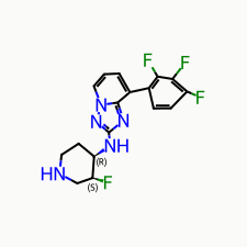 Fc1ccc(-c2cccn3nc(N[C@@H]4CCNC[C@@H]4F)nc23)c(F)c1F